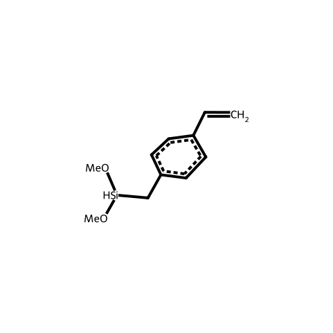 C=Cc1ccc(C[SiH](OC)OC)cc1